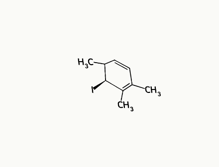 CC1=C(C)[C@@H](I)C(C)C=C1